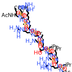 CC(=O)CN(C[C@H](CCCNC(=N)N)NC(=O)CN(C[C@H](CCC(C)C)NC(=O)CN(C[C@@H](NC(=O)CN(C[C@H](CC(C)C)NC(=O)CN(C[C@H](CCCNC(=N)N)NC(=O)CN(C[C@H](CCCCNC(=N)N)NC(=O)CN(C[C@H](CCC(=O)O)NC(C)=O)S(=O)(=O)CCN)S(C)(=O)=O)S(C)(=O)=O)S(=O)(=O)CCN)C(C)O)S(=O)(=O)CC(C)C)S(=O)(=O)CCN)S(=O)(=O)CC(C)C